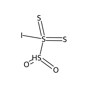 O=[SH](=O)S(=S)(=S)I